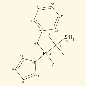 C[C](C)([SiH3])[Pt]([CH3])([CH2]c1ccccc1)[CH]1C=CC=C1